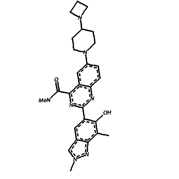 CNC(=O)c1nc(-c2cc3cn(C)nc3c(C)c2O)nc2ccc(N3CCC(N4CCC4)CC3)cc12